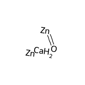 [CaH2].[O]=[Zn].[Zn]